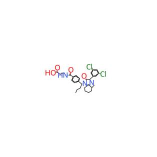 CCCC(c1ccc(C(=O)NCCC(=O)O)cc1)N1C(=O)C(c2cc(Cl)cc(Cl)c2)=NC12CCCCC2C